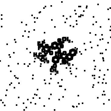 CCOc1ccc(F)c(C(C(=O)NCc2cc(N(OC(=O)C(F)(F)F)C(=O)OCC(C)C)ccc2S(=O)(=O)CC)N(N)c2ccc3cnccc3c2)c1